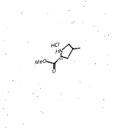 COC(=O)[C@@H]1CC(C)CN1.Cl